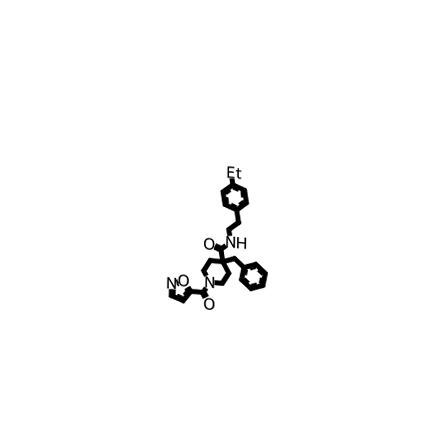 CCc1ccc(CCNC(=O)C2(Cc3ccccc3)CCN(C(=O)c3ccno3)CC2)cc1